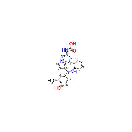 Cc1cc(C2Nc3ccccc3-c3nc(NC(=O)O)nn4ccc2c34)ccc1O